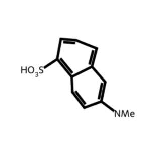 CNc1ccc2c(S(=O)(=O)O)cccc2c1